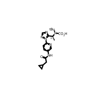 C[C@@H](c1ncnn1-c1ccc(NC(=O)CC2CC2)cn1)N(C(=O)O)C(C)(C)C